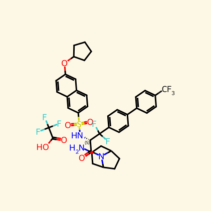 NC1CC2CCC(C1)N2C(=O)[C@H](NS(=O)(=O)c1ccc2cc(OC3CCCC3)ccc2c1)C(F)(F)c1ccc(-c2ccc(C(F)(F)F)cc2)cc1.O=C(O)C(F)(F)F